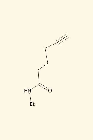 C#CCCCC(=O)NC[CH2]